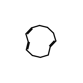 [C]1=C/CCC/C=C/C=C\CCC/1